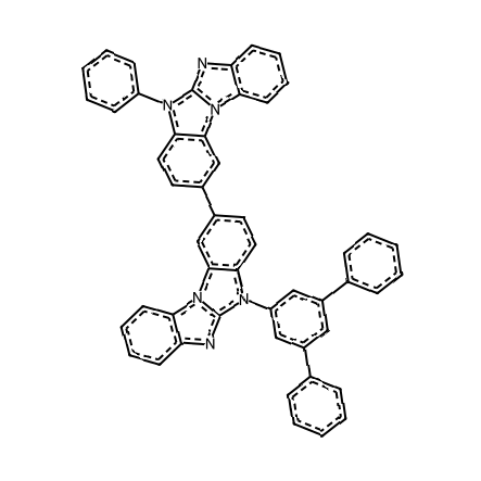 c1ccc(-c2cc(-c3ccccc3)cc(-n3c4ccc(-c5ccc6c(c5)n5c7ccccc7nc5n6-c5ccccc5)cc4n4c5ccccc5nc34)c2)cc1